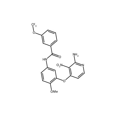 COc1ccc(NC(=O)c2cccc(OC(F)(F)F)c2)cc1Oc1ccnc(N)c1[N+](=O)[O-]